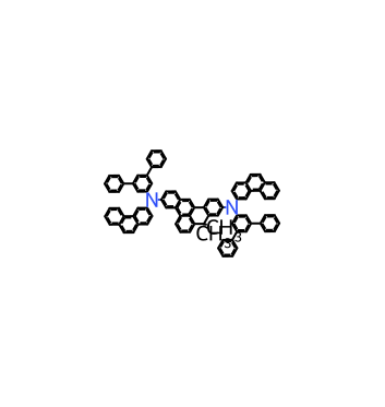 CC1(C)c2cc(N(c3cc(-c4ccccc4)cc(-c4ccccc4)c3)c3ccc4ccc5ccccc5c4c3)ccc2-c2cc3ccc(N(c4cc(-c5ccccc5)cc(-c5ccccc5)c4)c4ccc5ccc6ccccc6c5c4)cc3c3cccc1c23